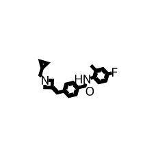 Cc1cc(F)ccc1NC(=O)c1ccc(C=C2CN(CC3CC3)C2)cc1